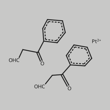 O=CCC(=O)c1ccccc1.O=CCC(=O)c1ccccc1.[Pt+2]